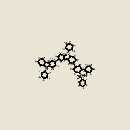 O=S1(c2ccccc2)=Nc2ccccc2-c2cc(-c3ccc4c(c3)c3cc(-c5ccc6c(c5)c5ccccc5n6-c5ccccc5)ccc3n4-c3ccccc3)ccc21